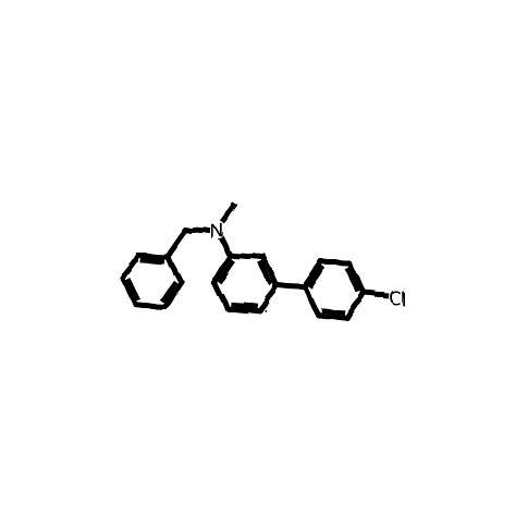 CN(Cc1ccccc1)c1cc[c]c(-c2ccc(Cl)cc2)c1